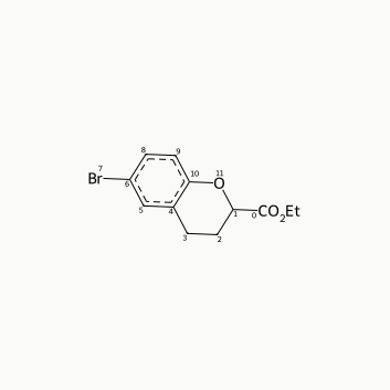 CCOC(=O)C1CCc2cc(Br)ccc2O1